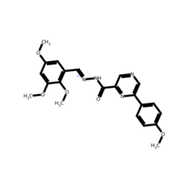 COc1ccc(-c2cncc(C(=O)N/N=C/c3cc(OC)cc(OC)c3OC)n2)cc1